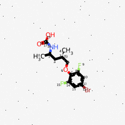 CC(C[C@H](C)COc1c(F)cc(Br)cc1F)NC(=O)O